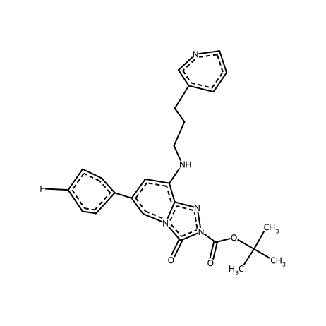 CC(C)(C)OC(=O)n1nc2c(NCCCc3cccnc3)cc(-c3ccc(F)cc3)cn2c1=O